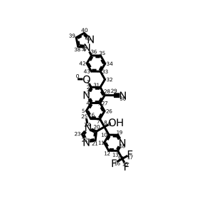 COc1nc2ccc(C(O)(c3ccc(C(F)(F)F)nc3)c3cncn3C)cc2c(C#N)c1Cc1ccc(-n2cccn2)cc1